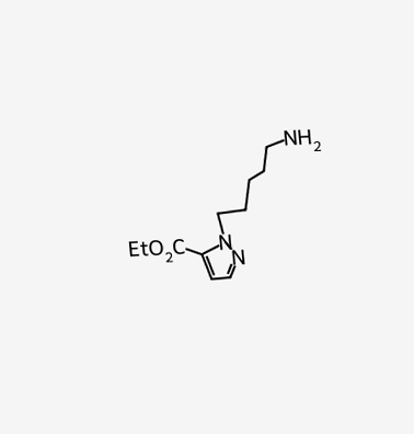 CCOC(=O)c1ccnn1CCCCCN